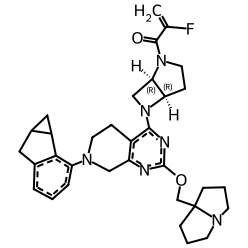 C=C(F)C(=O)N1CC[C@@H]2[C@H]1CN2c1nc(OCC23CCCN2CCC3)nc2c1CCN(c1cccc3c1C1CC1C3)C2